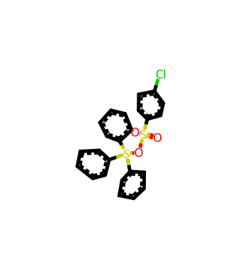 O=S(=O)(OS(c1ccccc1)(c1ccccc1)c1ccccc1)c1ccc(Cl)cc1